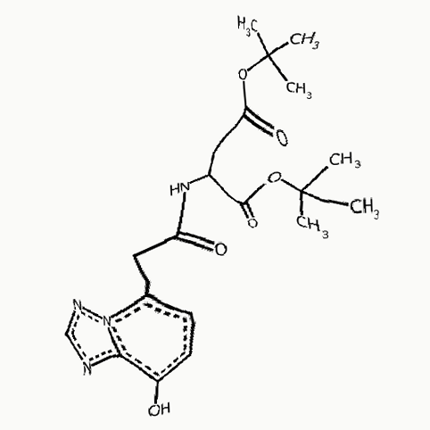 CC(C)(C)OC(=O)CC(NC(=O)Cc1ccc(O)c2ncnn12)C(=O)OC(C)(C)C